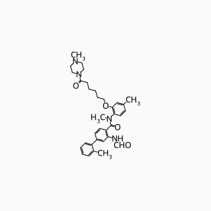 Cc1ccc(N(C)C(=O)c2ccc(-c3ccccc3C)cc2NC=O)c(OCCCCCC(=O)N2CCN(C)CC2)c1